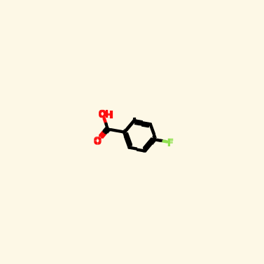 O=C(O)c1[c]cc(F)cc1